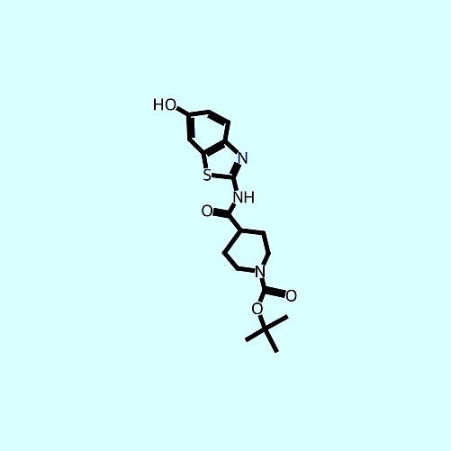 CC(C)(C)OC(=O)N1CCC(C(=O)Nc2nc3ccc(O)cc3s2)CC1